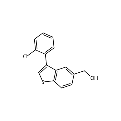 OCc1ccc2scc(-c3ccccc3Cl)c2c1